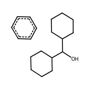 OC(C1CCCCC1)C1CCCCC1.c1ccccc1